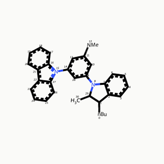 CCCCC1c2ccccc2N(c2cc(NC)cc(-n3c4ccccc4c4ccccc43)c2)C1C